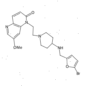 COc1cnc2ccc(=O)n(CCN3CCC(NCc4ccc(Br)o4)CC3)c2c1